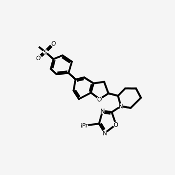 CC(C)c1noc(N2CCCCC2C2Cc3cc(-c4ccc(S(C)(=O)=O)cc4)ccc3O2)n1